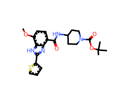 COc1ccc(C(=O)NC2CCN(C(=O)OC(C)(C)C)CC2)c2nc(-c3cccs3)[nH]c12